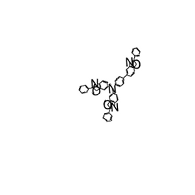 c1ccc(-c2nc3cc(-c4ccc(N(c5ccc6nc(-c7ccccc7)oc6c5)c5ccc6nc(-c7ccccc7)oc6c5)cc4)ccc3o2)cc1